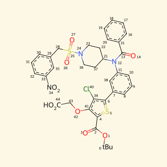 CC(C)(C)OC(=O)c1sc(-c2cccc(N(C(=O)c3ccccc3)C3CCN(S(=O)(=O)Cc4cccc([N+](=O)[O-])c4)CC3)c2)c(Cl)c1OCC(=O)O